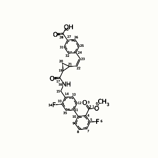 COC(=O)c1c(F)cccc1-c1ccc(CNC(=O)C2CC2/C=C\c2ccc(C(=O)O)cc2)c(F)c1